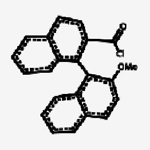 COc1ccc2ccccc2c1-c1c(C(=O)Cl)ccc2ccccc12